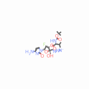 CC(C)[C@H](NC(=O)OC(C)(C)C)C(=O)O[C@H]1[C@@H](F)[C@H](n2ccc(N)nc2=O)O[C@@]1(CO)CN=[N+]=[N-]